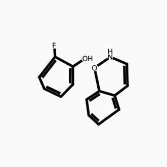 C1=Cc2ccccc2ON1.Oc1ccccc1F